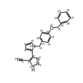 N#Cc1[nH]nnc1-c1cccn1Cc1ccc(OCc2ccccc2)cc1